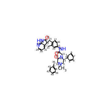 CN1C[C@H](c2ccccc2)N(CC(=O)Nc2ccc3c(c2)C[C@@]2(C3)C(=O)Nc3ncccc32)C(=O)[C@H]1Cc1ccccc1